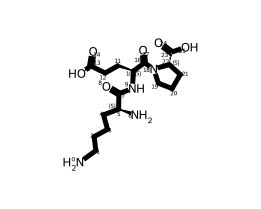 NCCCC[C@H](N)C(=O)N[C@@H](CCC(=O)O)C(=O)N1CCC[C@H]1C(=O)O